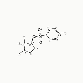 Cc1ccc(S(=O)(=O)O[C@H]2CCC(C)C2(C)C)cc1